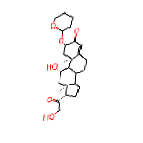 C[C@]12CC(OC3CCCCO3)C(=O)C=C1CCC1C2[C@@H](O)C[C@@]2(C)C1CC[C@@H]2C(=O)CO